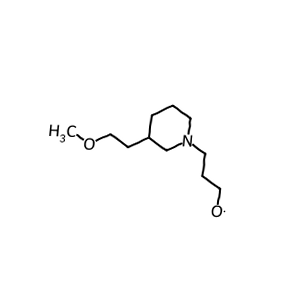 COCCC1CCCN(CCC[O])C1